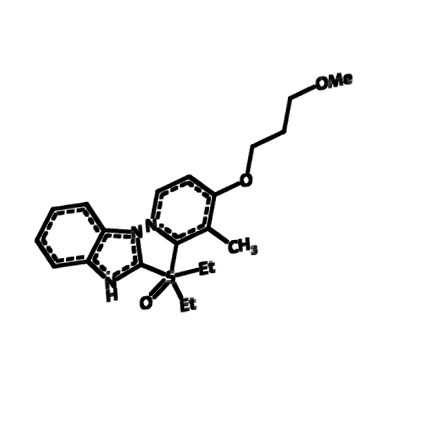 CCS(=O)(CC)(c1nc2ccccc2[nH]1)c1nccc(OCCCOC)c1C